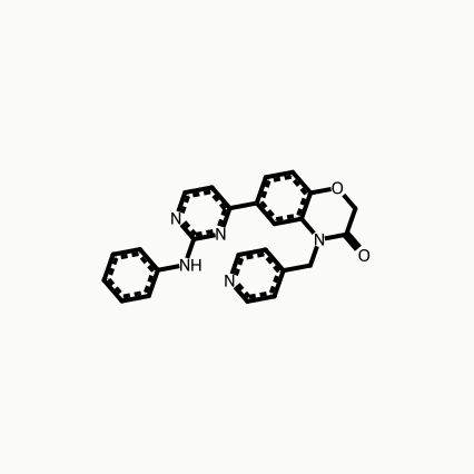 O=C1COc2ccc(-c3ccnc(Nc4ccccc4)n3)cc2N1Cc1ccncc1